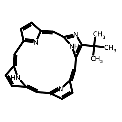 CC(C)(C)c1nc2cc3nc(cc4ccc(cc5nc(cc1[nH]2)C=C5)[nH]4)C=C3